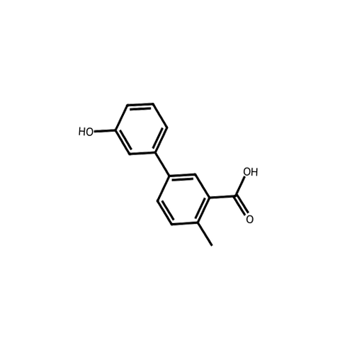 Cc1ccc(-c2cccc(O)c2)cc1C(=O)O